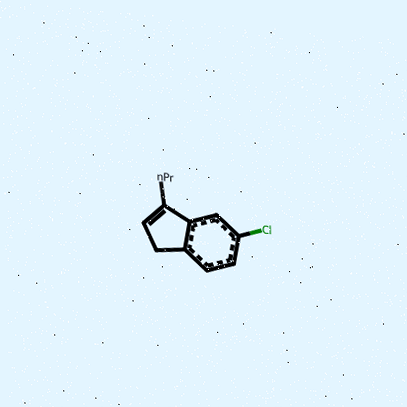 CCCC1=CCc2ccc(Cl)cc21